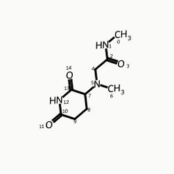 CNC(=O)CN(C)C1CCC(=O)NC1=O